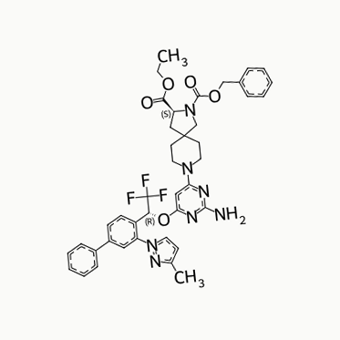 CCOC(=O)[C@@H]1CC2(CCN(c3cc(O[C@H](c4ccc(-c5ccccc5)cc4-n4ccc(C)n4)C(F)(F)F)nc(N)n3)CC2)CN1C(=O)OCc1ccccc1